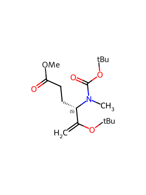 C=C(OC(C)(C)C)[C@H](CCC(=O)OC)N(C)C(=O)OC(C)(C)C